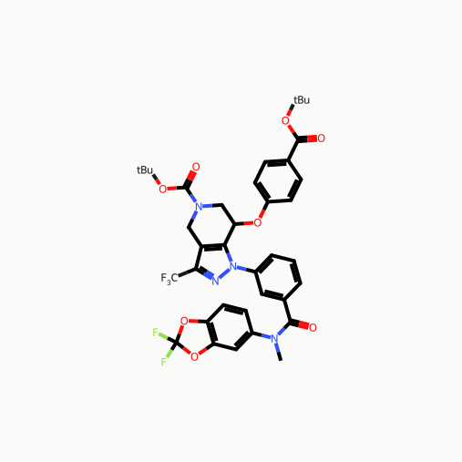 CN(C(=O)c1cccc(-n2nc(C(F)(F)F)c3c2C(Oc2ccc(C(=O)OC(C)(C)C)cc2)CN(C(=O)OC(C)(C)C)C3)c1)c1ccc2c(c1)OC(F)(F)O2